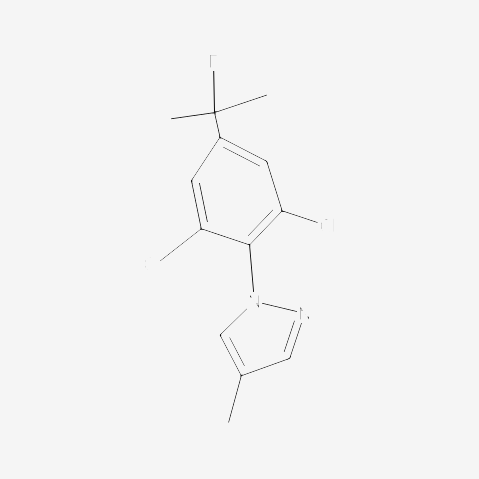 Cc1cnn(-c2c(Cl)cc(C(C)(C)F)cc2Cl)c1